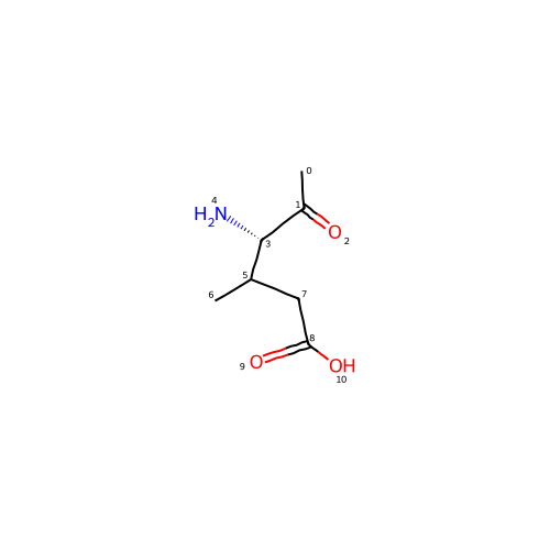 CC(=O)[C@@H](N)C(C)CC(=O)O